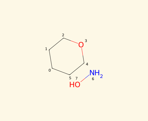 C1CCOCC1.NO